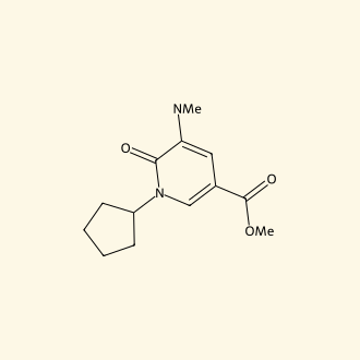 CNc1cc(C(=O)OC)cn(C2CCCC2)c1=O